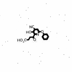 N#Cc1cc(Oc2ccccc2)nc(C(=O)CCC(=O)O)c1O